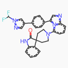 O=C1Nc2ccccc2C12CCN(c1cccc3ncc(-c4ccc(-c5cnn(C(F)F)c5)cc4)n13)CC2